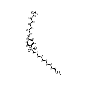 C=CCCCCCCCCCS(=O)(=O)c1ccc(SCCCCCCCC)cc1